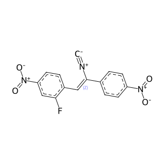 [C-]#[N+]/C(=C\c1ccc([N+](=O)[O-])cc1F)c1ccc([N+](=O)[O-])cc1